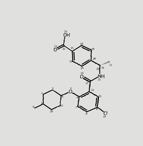 CC1CCC(Oc2ccc(Cl)cc2C(=O)N[C@@H](C)c2ccc(C(=O)O)cc2)CC1